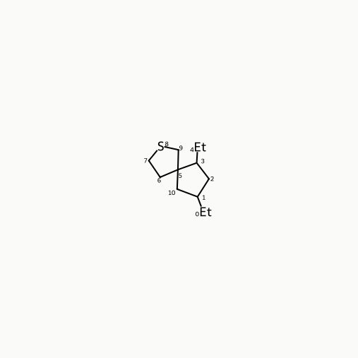 CCC1CC(CC)C2(CCSC2)C1